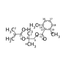 C=C(C)C(=O)OC(C)(C)COC(=O)c1c(C)cccc1C